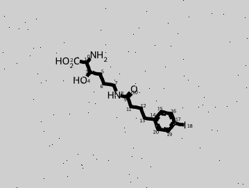 NC(C(=O)O)C(O)CCCNC(=O)CCCc1ccc(I)cc1